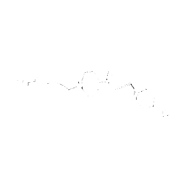 CC(C)(C)OCCCN1CCC(N/C=C/N2CCC(C(C)(C)C)CC2)CC1